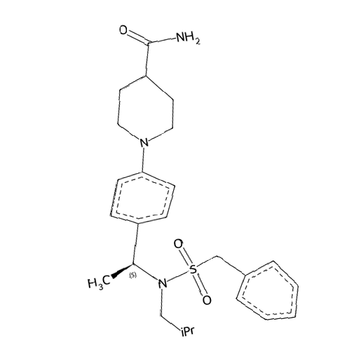 CC(C)CN([C@@H](C)c1ccc(N2CCC(C(N)=O)CC2)cc1)S(=O)(=O)Cc1ccccc1